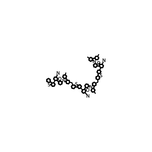 Cc1ccc2c(c1)c1cc(C)ccc1n2-c1cccc2c1oc1c(C#N)ccc(-c3ccc4c(c3)sc3cc(Cc5ccc6c(c5)c5cc(C)ccc5n6-c5cccc6c5oc5c(C#N)ccc(-c7ccc8sc9c(Cc%10ccc%11c(c%10)c%10cc(C)ccc%10n%11-c%10cccc%11c%10oc%10c(C#N)ccc(-c%12cccc%13sc%14ccccc%14c%12%13)c%10%11)cccc9c8c7)c56)ccc34)c12